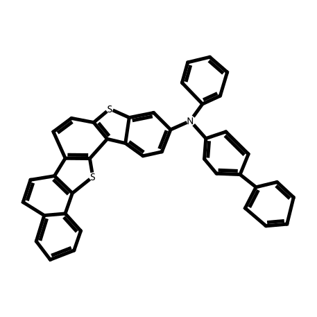 c1ccc(-c2ccc(N(c3ccccc3)c3ccc4c(c3)sc3ccc5c6ccc7ccccc7c6sc5c34)cc2)cc1